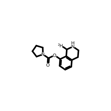 [2H]C1NCCc2cccc(OC(=O)N3CCCC3)c21